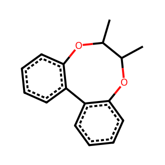 CC1Oc2ccccc2-c2ccccc2OC1C